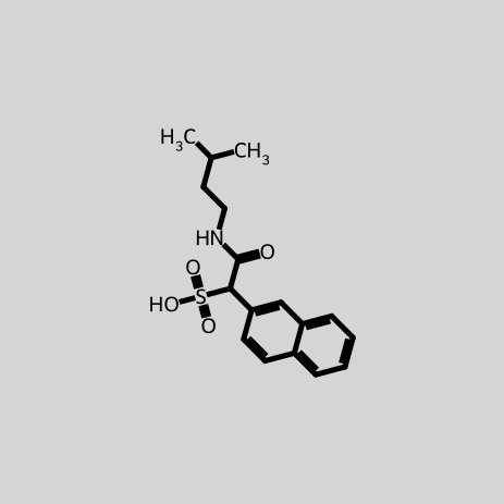 CC(C)CCNC(=O)C(c1ccc2ccccc2c1)S(=O)(=O)O